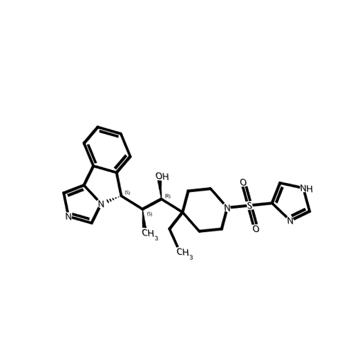 CCC1([C@H](O)[C@@H](C)[C@H]2c3ccccc3-c3cncn32)CCN(S(=O)(=O)c2c[nH]cn2)CC1